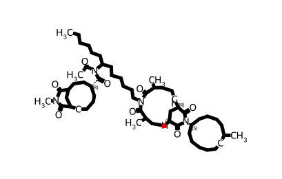 CCCCCCC(CCCCCCN1C(=O)C(C)CCC[C@@H]2C[C@H](CCC(C)C1=O)C(=O)N([C@H]1CCCCCCC(C)CCCC1)C2=O)N(C(C)=O)C(=O)[C@@H]1CCCCC2CC(CC1)C(=O)N(C)C2=O